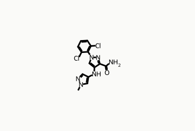 Cn1cc(Nc2cn(-c3c(Cl)cccc3Cl)nc2C(N)=O)cn1